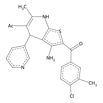 CC(=O)C1=C(C)Nc2sc(C(=O)c3ccc(Cl)c(C)c3)c(N)c2C1c1cccnc1